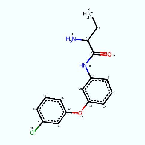 CCC(N)C(=O)Nc1cccc(Oc2cccc(Cl)c2)c1